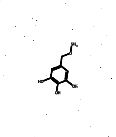 Oc1cc(CO[SiH3])cc(O)c1O